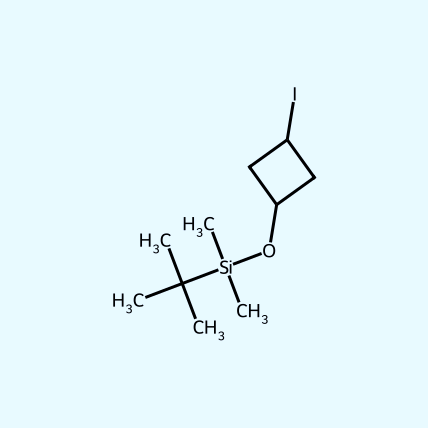 CC(C)(C)[Si](C)(C)OC1CC(I)C1